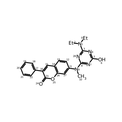 CCN(CC)c1nc(O)nc(N(C)c2ccc3cc(-c4ccccc4)c(=O)oc3c2)n1